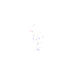 CCOC(=O)C1=CN(Cl)C2C(=C[N+](C)(C)Cl)CCC(C)N2C1=O